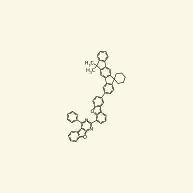 CC1(C)c2ccccc2-c2cc3c(cc21)-c1cc(-c2ccc4oc5c(-c6nc(-c7ccccc7)c7c(n6)oc6ccccc67)cccc5c4c2)ccc1C31CCCCC1